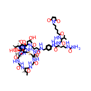 CC[C@H](C)[C@@H]1NC(=O)CNC(=O)[C@@H]2Cc3c([nH]c4cc(OC)ccc34)SC[C@@H](NC(=O)CNC1=O)C(=O)NC(CC(=O)NCc1ccc(NC(=O)[C@H](CCCNC(N)=O)NC(=O)[C@@H](NC(=O)CCCCCN3C(=O)C=CC3=O)C(C)C)cc1)C(=O)N1C[C@H](O)CC1C(=O)N[C@@H]([C@@H](C)[C@H](C)O)C(=O)N2